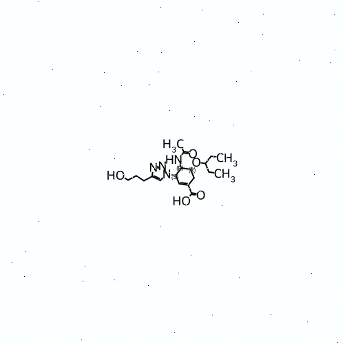 CCC(CC)O[C@@H]1CC(C(=O)O)=C[C@H](n2cc(CCCO)nn2)[C@H]1NC(C)=O